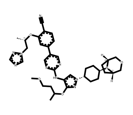 COCCC(C)Oc1nn([C@H]2CC[C@H](N3[C@@H]4CC[C@H]3COC4)CC2)cc1Nc1ncc(-c2ccc(C#N)c(O[C@@H](C)Cn3cncn3)c2)cn1